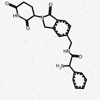 NC(C(=O)NCc1ccc2c(c1)CN(C1CCC(=O)NC1=O)C2=O)c1ccccc1